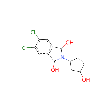 OC1CCC(N2C(O)c3cc(Cl)c(Cl)cc3C2O)C1